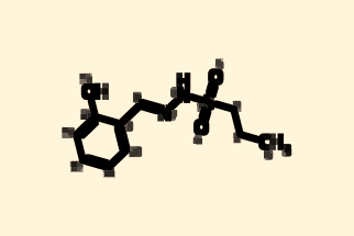 CCCS(=O)(=O)NN=Cc1ccccc1O